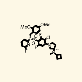 COc1ccc(CN(c2cccc(F)n2)S(=O)(=O)c2c(F)cc(N3CC[C@@](C)(N(C)C4CCC4)C3)c(Cl)c2F)c(OC)c1